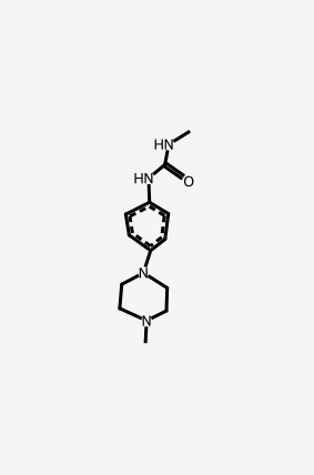 CNC(=O)Nc1ccc(N2CCN(C)CC2)cc1